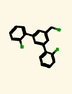 Clc1ccccc1-c1cc(CBr)cc(-c2ccccc2Cl)c1